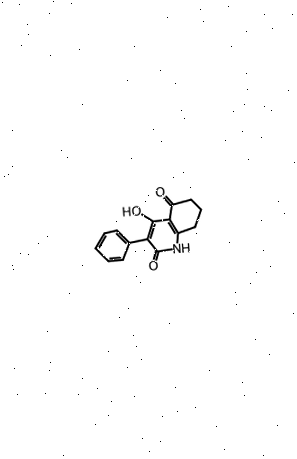 O=C1CCCc2[nH]c(=O)c(-c3ccccc3)c(O)c21